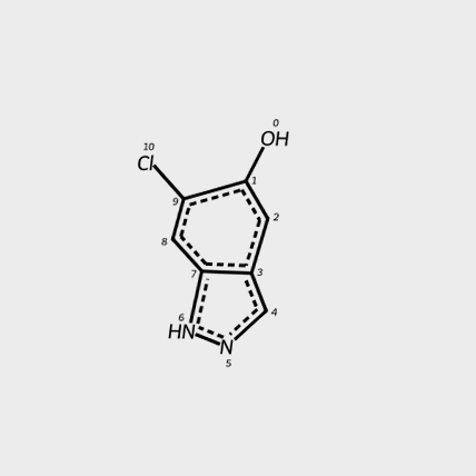 Oc1cc2cn[nH]c2cc1Cl